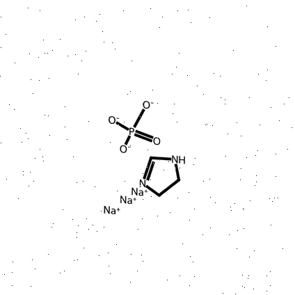 C1=NCCN1.O=P([O-])([O-])[O-].[Na+].[Na+].[Na+]